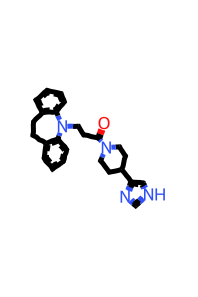 O=C(CCN1c2ccccc2CCc2ccccc21)N1CCC(c2c[nH]cn2)CC1